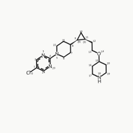 Clc1cnc(N2CCC([C@H]3C[C@H]3CCOC3CCNCC3)CC2)nc1